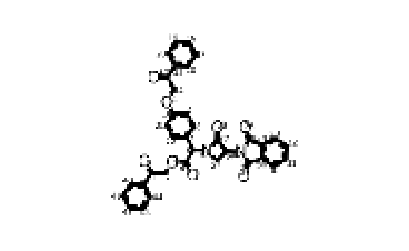 O=C(COC(=O)C(c1ccc(OCC(=O)c2ccccc2)cc1)N1CC(N2C(=O)c3ccccc3C2=O)C1=O)c1ccccc1